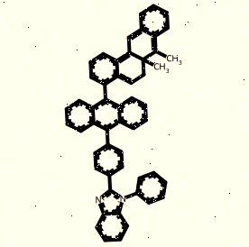 CC1=c2ccccc2=CC2=c3cccc(-c4c5ccccc5c(-c5ccc(-c6nc7ccccc7n6-c6ccccc6)cc5)c5ccccc45)c3=CCC12C